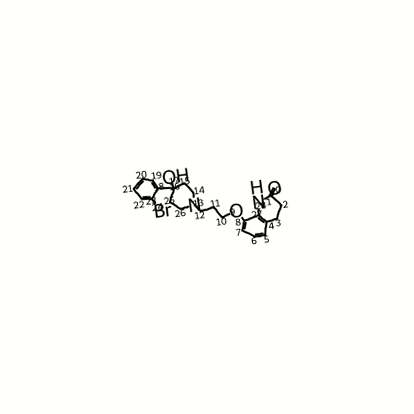 O=C1CCc2cccc(OCCCN3CCC(O)(c4ccccc4Br)CC3)c2N1